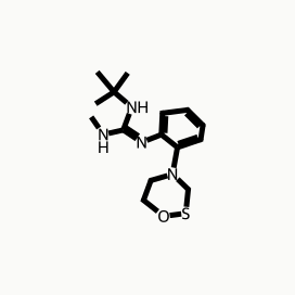 CNC(=Nc1ccccc1N1CCOSC1)NC(C)(C)C